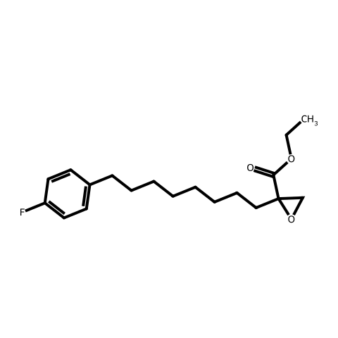 CCOC(=O)C1(CCCCCCCCc2ccc(F)cc2)CO1